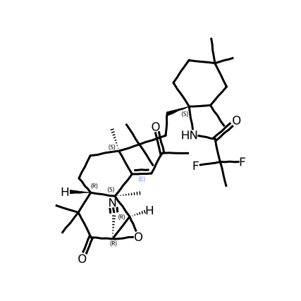 CC(=O)/C=C1/[C@@]2(C)[C@H]3O[C@@]3(C#N)C(=O)C(C)(C)[C@@H]2CC[C@@]1(C)C(C)(C)CC[C@@]1(NC(=O)C(C)(F)F)CCC(C)(C)CC1C